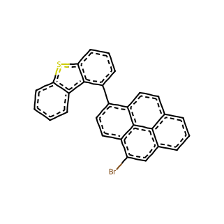 Brc1cc2cccc3ccc4c(-c5cccc6sc7ccccc7c56)ccc1c4c32